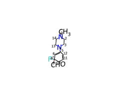 CN1CCN(C2=CC(F)(C=O)CC=C2)CC1